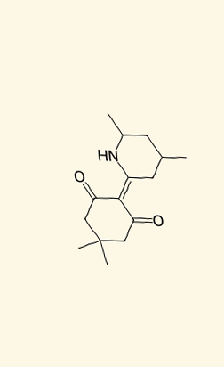 CC1CC(=C2C(=O)CC(C)(C)CC2=O)NC(C)C1